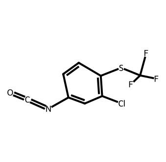 O=C=Nc1ccc(SC(F)(F)F)c(Cl)c1